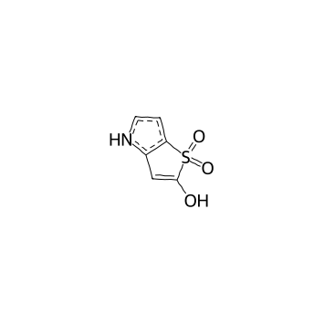 O=S1(=O)C(O)=Cc2[nH]ccc21